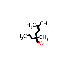 CCCC(C)(C=O)CC=C(C)C